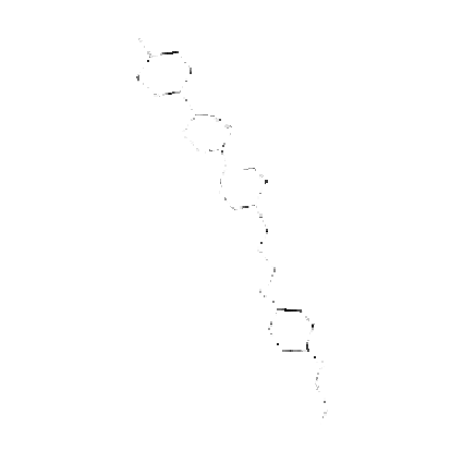 CCCOC1CCC(OCCCC2CCC(C3C=CC(C4CCC(C)CC4)CC3)CC2)CC1